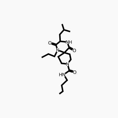 CCCCNC(=O)N1CCC2(CC1)C(=O)NC(CC(C)C)C(=O)N2CCC